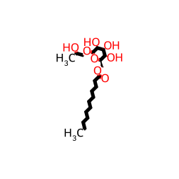 CCCCCCCCCCCC(=O)OC[C@H]1OC(OCC(C)O)[C@H](O)[C@@H](O)[C@@H]1O